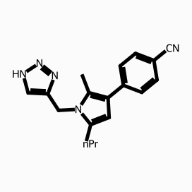 CCCc1cc(-c2ccc(C#N)cc2)c(C)n1Cc1c[nH]nn1